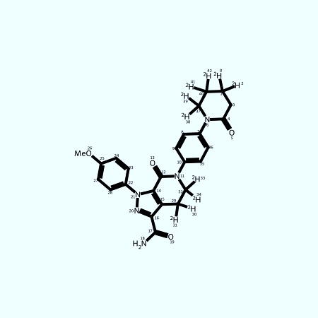 [2H]C1([2H])CC(=O)N(c2ccc(N3C(=O)c4c(c(C(N)=O)nn4-c4ccc(OC)cc4)C([2H])([2H])C3([2H])[2H])cc2)C([2H])([2H])C1([2H])[2H]